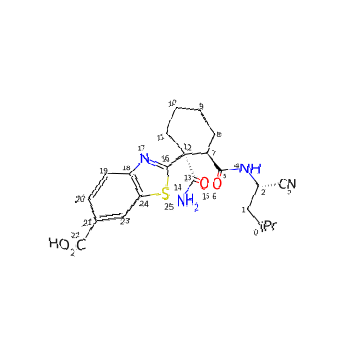 CC(C)C[C@@H](C#N)NC(=O)[C@@H]1CCCC[C@]1(C(N)=O)c1nc2ccc(C(=O)O)cc2s1